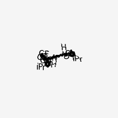 Cc1ccc(C(C)C)cc1OC(=O)NCCCCNCCCN(C(=O)OC(=O)C(F)(F)F)c1cc(C(C)C)ccc1C